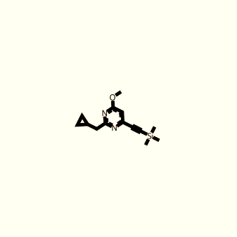 COc1cc(C#C[Si](C)(C)C)nc(CC2CC2)n1